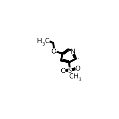 CCOc1cn[c]c(S(C)(=O)=O)c1